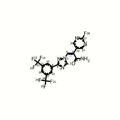 NC(=O)/C(=C\n1cnc(-c2cc(C(F)(F)F)cc(C(F)(F)F)c2)n1)c1cnc(F)nc1